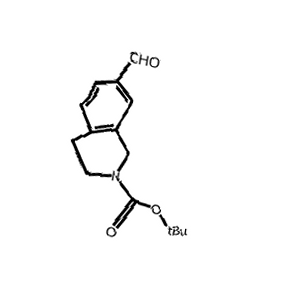 CC(C)(C)OC(=O)N1CCc2ccc(C=O)cc2C1